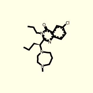 CCC[C@@H](c1nc2ccc(Cl)cc2c(=O)n1CCC)N1CCCN(C)CC1